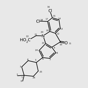 CC1(C)CCC(c2ccc3c(=O)c4ccc(Cl)c(Cl)c4n(CC(=O)O)c3c2)CC1